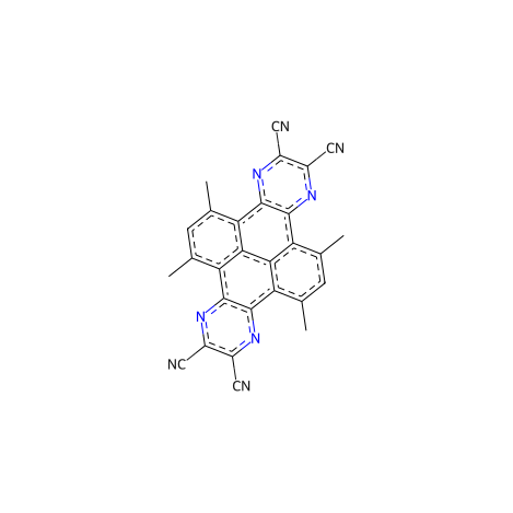 Cc1cc(C)c2c3nc(C#N)c(C#N)nc3c3c(C)cc(C)c4c5nc(C#N)c(C#N)nc5c1c2c43